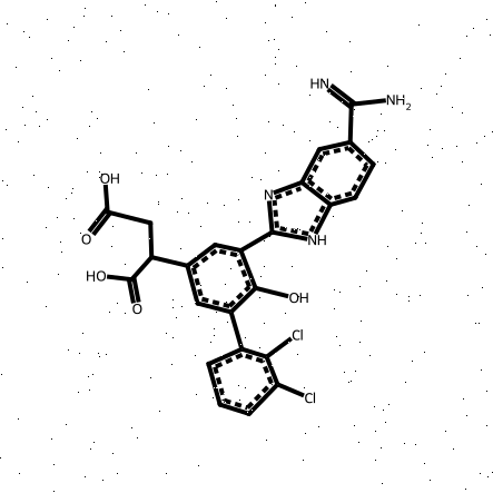 N=C(N)c1ccc2[nH]c(-c3cc(C(CC(=O)O)C(=O)O)cc(-c4cccc(Cl)c4Cl)c3O)nc2c1